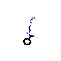 C=NOCCNC(=C)c1ccccc1